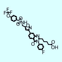 O=C(O)CCCCc1nc2cc(-c3cc(CNS(=O)(=O)c4ccc(OC(F)(F)F)cc4)on3)ccc2c(=O)n1-c1ccc(F)cc1